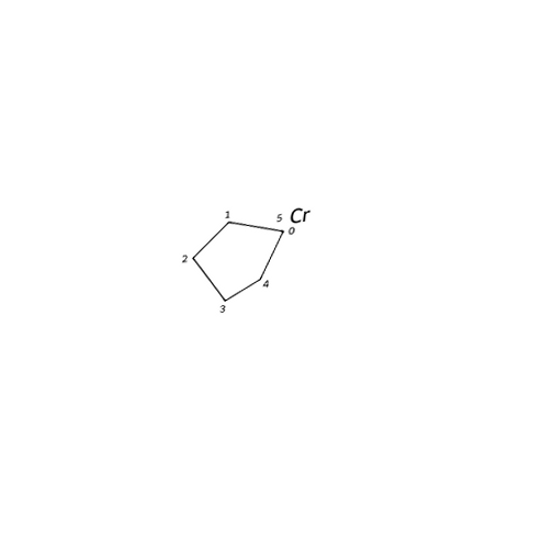 C1CCCC1.[Cr]